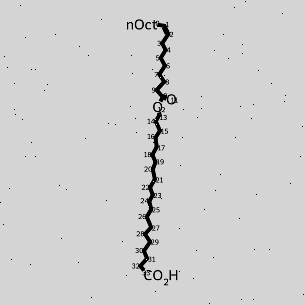 CCCCCCCC/C=C\CCCCCCCC(=O)OCCCCCCCCCCCCCCCCCCCCC(=O)O